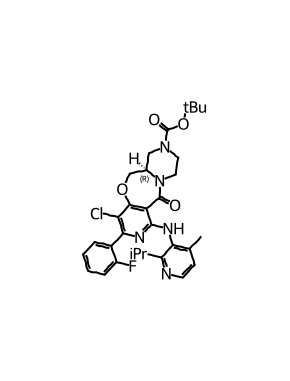 Cc1ccnc(C(C)C)c1Nc1nc(-c2ccccc2F)c(Cl)c2c1C(=O)N1CCN(C(=O)OC(C)(C)C)C[C@@H]1CO2